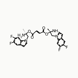 C[C@@](N)(Cn1ccc2cc(F)c(F)cc21)OC(=O)/C=C/C(=O)O[C@](C)(N)Cn1ccc2cc(F)c(F)cc21